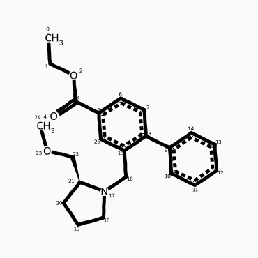 CCOC(=O)c1ccc(-c2ccccc2)c(CN2CCC[C@H]2COC)c1